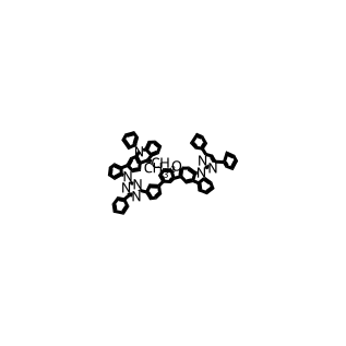 CC1(C)c2ccccc2N(c2ccccc2)c2cc3c4ccccc4n(-c4nc(-c5ccccc5)nc(-c5cccc(-c6ccc7oc8cc9c(cc8c7c6)c6ccccc6n9-c6nc(-c7ccccc7)cc(-c7ccccc7)n6)c5)n4)c3cc21